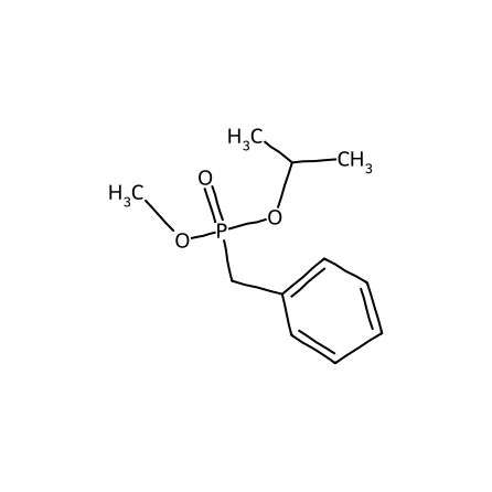 COP(=O)(Cc1ccccc1)OC(C)C